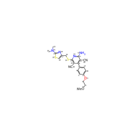 COCCOc1ccc(-c2c(C#N)c(N)nc(SCc3csc(N(C)C)n3)c2C#N)cc1